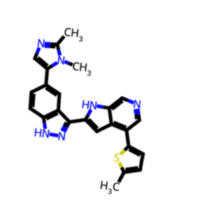 Cc1ccc(-c2cncc3[nH]c(-c4n[nH]c5ccc(-c6cnc(C)n6C)cc45)cc23)s1